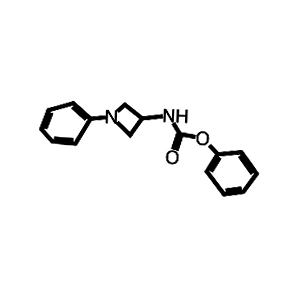 O=C(NC1CN(c2ccccc2)C1)Oc1ccccc1